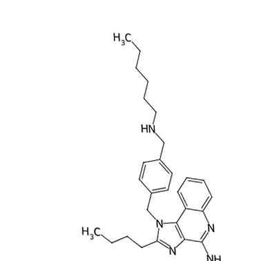 CCCCCCNCc1ccc(Cn2c(CCCC)nc3c(N)nc4ccccc4c32)cc1